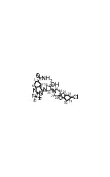 NC(=O)c1ccc2nc(C(F)(F)F)nc(N3CC(O)C(N4CCC5(CC4)Cc4cc(Cl)ccc4O5)C3)c2c1